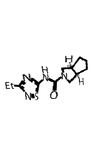 CCc1nsc(NC(=O)N2C[C@H]3CCC[C@H]3C2)n1